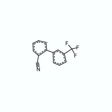 N#Cc1ccc[c]c1-c1cccc(C(F)(F)F)c1